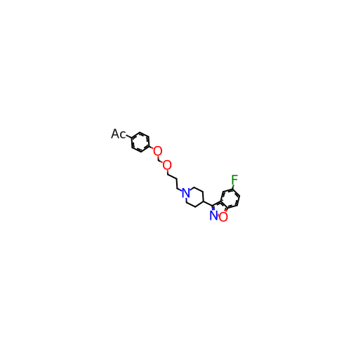 CC(=O)c1ccc(OCOCCCN2CCC(c3noc4ccc(F)cc34)CC2)cc1